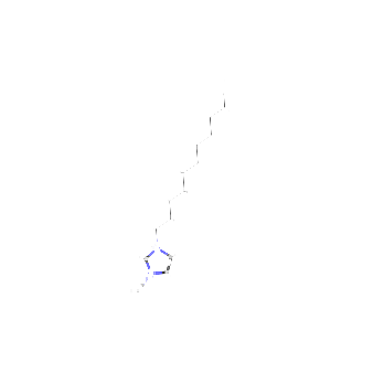 CCCCn1cc[n+](CCCCCCCCCCC(=O)O)c1